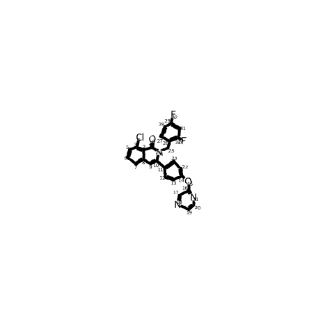 O=c1c2c(Cl)cccc2cc(-c2ccc(Oc3cnccn3)cc2)n1Cc1ccc(F)cc1F